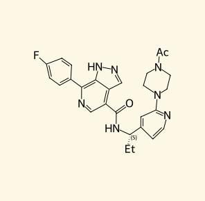 CC[C@H](NC(=O)c1cnc(-c2ccc(F)cc2)c2[nH]ncc12)c1ccnc(N2CCN(C(C)=O)CC2)c1